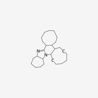 C1CCCC2C3=NC4CCCCCC4N3C3CCCCCCCC3C2CCC1